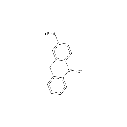 CCCCCc1ccc2c(c1)Cc1ccccc1[S+]2[O-]